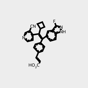 N#Cc1cnccc1C(=C(c1ccc(C=CC(=O)O)cc1)c1ccc2[nH]nc(F)c2c1)C1CCC1